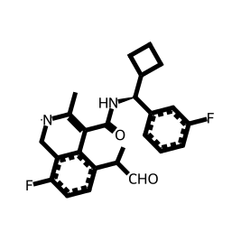 CC1=C(C(=O)N[C@H](c2cccc(F)c2)C2CCC2)c2c(C(C)C=O)ccc(F)c2C[N]1